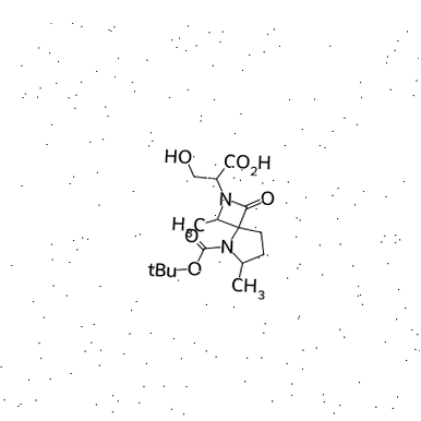 CC1CCC2(C(=O)N(C(CO)C(=O)O)C2C)N1C(=O)OC(C)(C)C